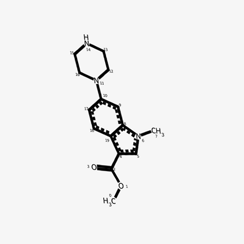 COC(=O)c1cn(C)c2cc(N3CCNCC3)ccc12